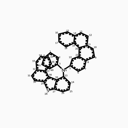 c1ccc(N(c2ccc3ccc4ccc5ccccc5c4c3c2)c2cccc3sc4ccc5ccccc5c4c23)cc1